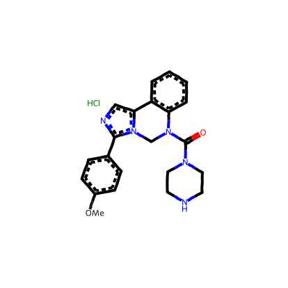 COc1ccc(-c2ncc3n2CN(C(=O)N2CCNCC2)c2ccccc2-3)cc1.Cl